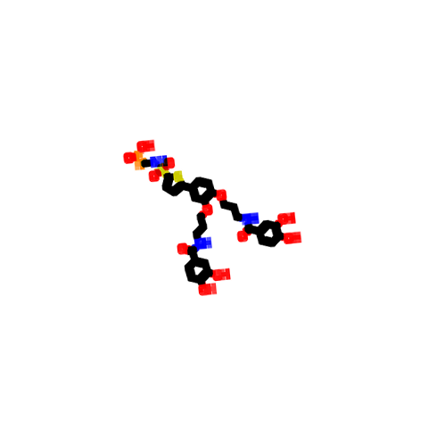 O=C(NCCCOc1ccc(-c2ccc(S(=O)(=O)NC[PH](=O)O)s2)cc1OCCCNC(=O)c1ccc(O)c(O)c1)c1ccc(O)c(O)c1